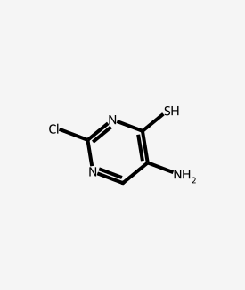 Nc1cnc(Cl)nc1S